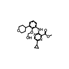 COC(=O)c1nc(C2CC2)cnc1Nc1cccc(C2CCOCC2)c1OCO